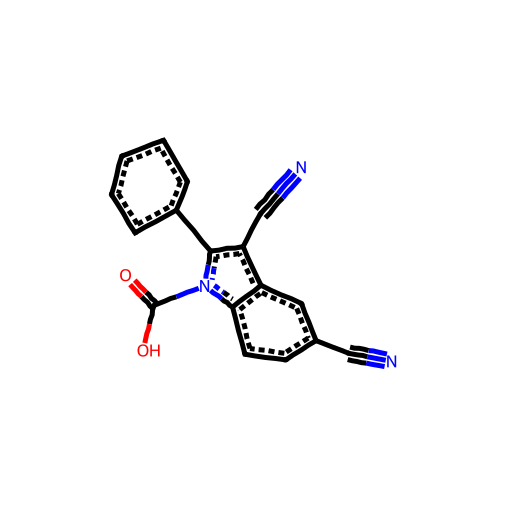 N#Cc1ccc2c(c1)c(C#N)c(-c1ccccc1)n2C(=O)O